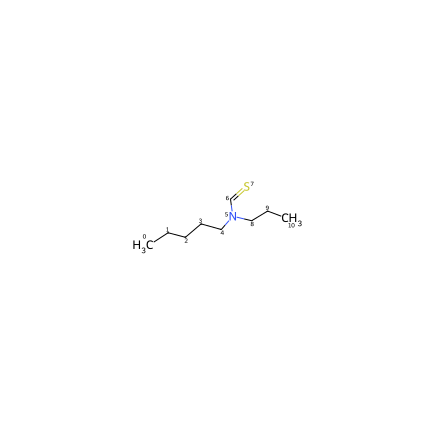 CCCCCN(C=S)CCC